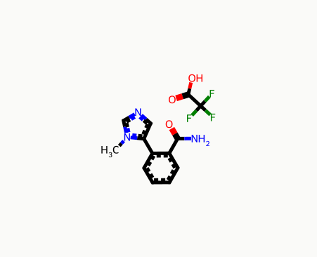 Cn1cncc1-c1ccccc1C(N)=O.O=C(O)C(F)(F)F